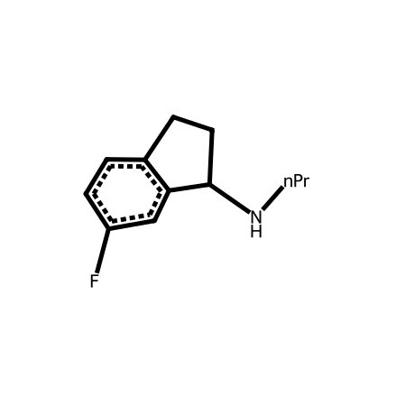 CCCNC1CCc2ccc(F)cc21